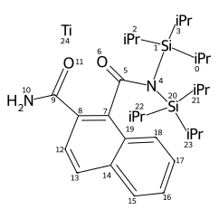 CC(C)[Si](C(C)C)(C(C)C)N(C(=O)c1c(C(N)=O)ccc2ccccc12)[Si](C(C)C)(C(C)C)C(C)C.[Ti]